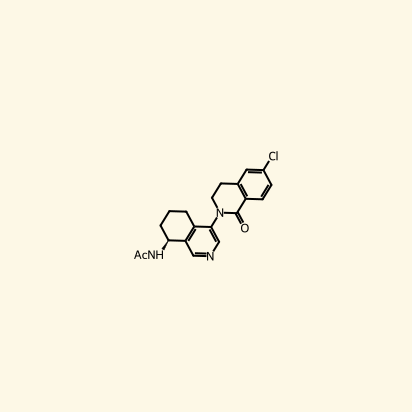 CC(=O)N[C@H]1CCCc2c1cncc2N1CCc2cc(Cl)ccc2C1=O